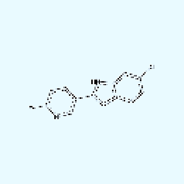 Fc1ccc(-c2cc3ccc(Cl)cc3[nH]2)cn1